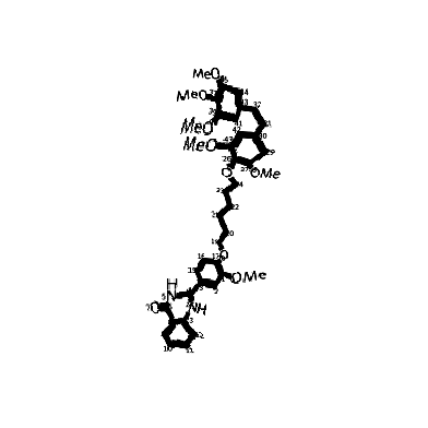 COc1cc(C2NC(=O)c3ccccc3N2)ccc1OCCCCCCOc1c(OC)cc(/C=C\c2cc(OC)c(OC)c(OC)c2)cc1OC